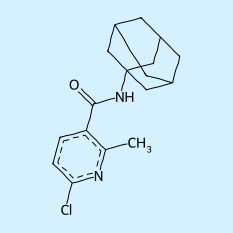 Cc1nc(Cl)ccc1C(=O)NC12CC3CC(CC(C3)C1)C2